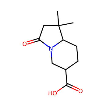 CC1(C)CC(=O)N2CC(C(=O)O)CCC21